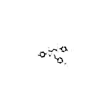 COc1ccc(CCN2C(=S)N(c3ccc(F)cc3)C(=O)C2CC(=O)Nc2ccc(O)cc2)cc1